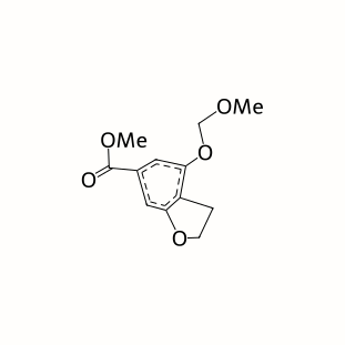 COCOc1cc(C(=O)OC)cc2c1CCO2